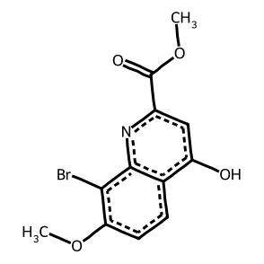 COC(=O)c1cc(O)c2ccc(OC)c(Br)c2n1